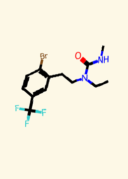 CCN(CCc1cc(C(F)(F)F)ccc1Br)C(=O)NC